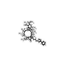 CC[C@H]1OC(=O)[C@H](C)C(=O)C(C)[C@@H](OC2O[C@H](C)C[C@H](N(C)C)C2O)[C@](C)(OC)C[C@@H](C)C(=O)[C@H](C)[C@H]2N(CCCCn3cnc(-c4cccnc4)c3)C(=O)O[C@]12C